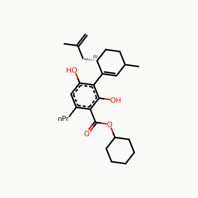 C=C(C)C[C@@H]1CCC(C)C=C1c1c(O)cc(CCC)c(C(=O)OC2CCCCC2)c1O